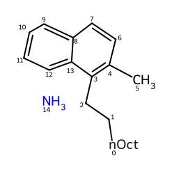 CCCCCCCCCCc1c(C)ccc2ccccc12.N